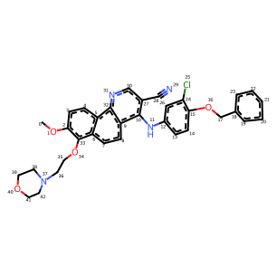 COc1ccc2c(ccc3c(Nc4ccc(OCc5ccccc5)c(Cl)c4)c(C#N)cnc32)c1OCCN1CCOCC1